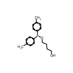 Cc1ccc(P(OCCCCO)c2ccc(C)cc2)cc1